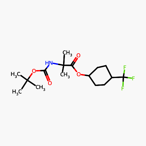 CC(C)(C)OC(=O)NC(C)(C)C(=O)OC1CCC(C(F)(F)F)CC1